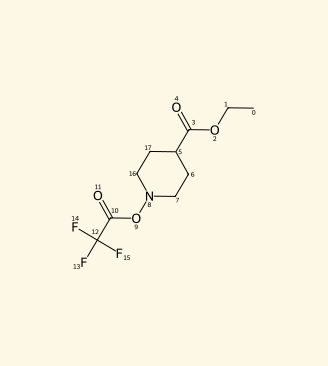 CCOC(=O)C1CCN(OC(=O)C(F)(F)F)CC1